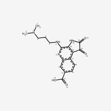 CN(C)CCCNc1nc2cc(C(=O)O)ccc2c2c1NC(=O)C2=O